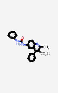 CCOC(=O)c1c(C)nc2ccc(NC(=O)Nc3ccccc3)cc2c1-c1ccccc1